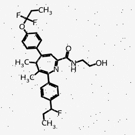 CCC(F)c1ccc(C2=C(C)C(C)C(c3ccc(OC(F)(F)CC)cc3)=CC(C(=O)NCCO)=N2)cc1